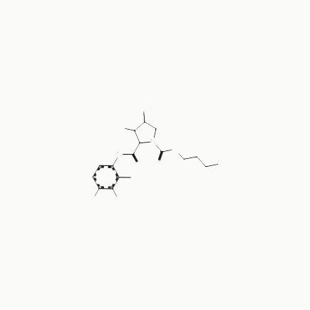 CCCCOC(=O)N1CC(O)C(O)C1C(=O)Nc1ccc(F)c(Cl)c1F